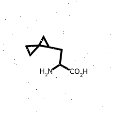 NC(CC1CC12CC2)C(=O)O